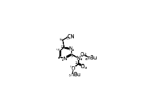 CCCCOC(=O)N(OCCCC)c1nccc(CC#N)n1